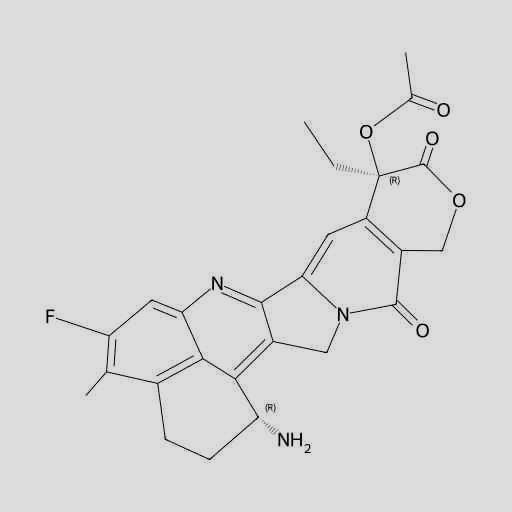 CC[C@]1(OC(C)=O)C(=O)OCc2c1cc1n(c2=O)Cc2c-1nc1cc(F)c(C)c3c1c2[C@H](N)CC3